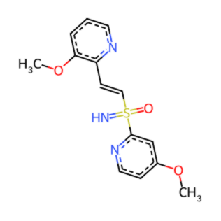 COc1ccnc(S(=N)(=O)/C=C/c2ncccc2OC)c1